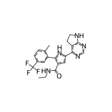 CCNC(=O)c1cc(-c2ncnc3c2CCN3)[nH]c1-c1cc(C(F)(F)F)ccc1C